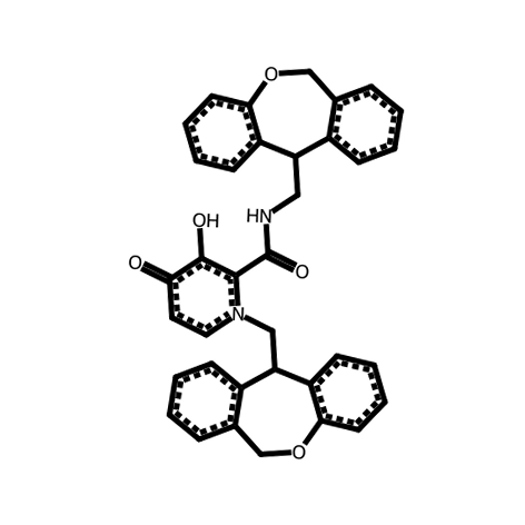 O=C(NCC1c2ccccc2COc2ccccc21)c1c(O)c(=O)ccn1CC1c2ccccc2COc2ccccc21